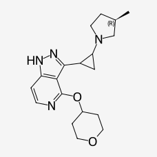 C[C@@H]1CCN(C2CC2c2n[nH]c3ccnc(OC4CCOCC4)c23)C1